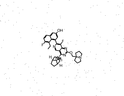 CCc1c(F)ccc2cc(O)cc(-c3ncc4c(N5C[C@H]6CC[C@@H](C5)[C@@H]6N)nc(OCC56CCCN5CCC6)nc4c3F)c12